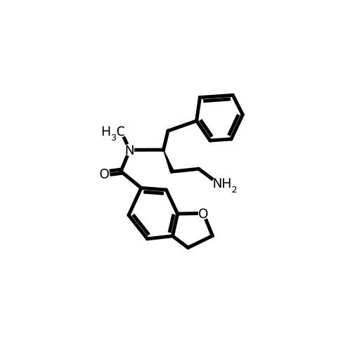 CN(C(=O)c1ccc2c(c1)OCC2)[C@H](CCN)Cc1ccccc1